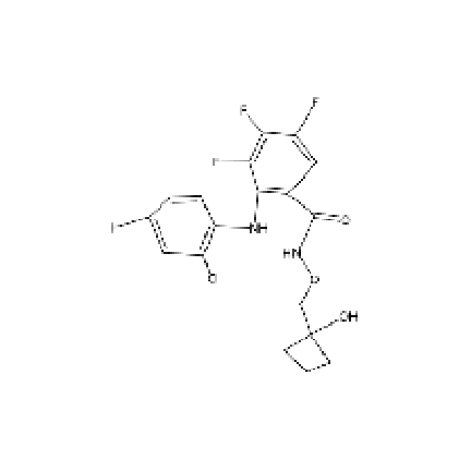 O=C(NOCC1(O)CCC1)c1cc(F)c(F)c(F)c1Nc1ccc(I)cc1Cl